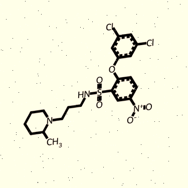 CC1CCCCN1CCCNS(=O)(=O)c1cc([N+](=O)[O-])ccc1Oc1cc(Cl)cc(Cl)c1